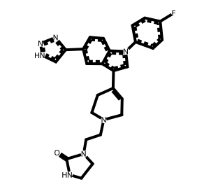 O=C1NCCN1CCN1CC=C(c2cn(-c3ccc(F)cc3)c3ccc(-c4c[nH]nn4)cc23)CC1